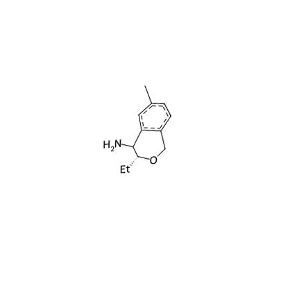 CC[C@H]1OCc2ccc(C)cc2C1N